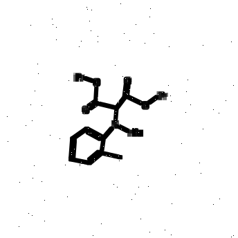 CCCCN(c1ccccc1C)C(C(=O)OC(C)C)C(=O)OC(C)C